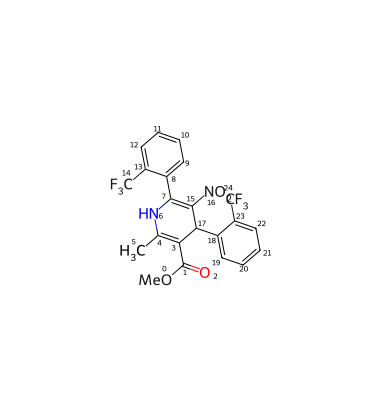 COC(=O)C1=C(C)NC(c2ccccc2C(F)(F)F)=C([N+](=O)[O-])C1c1ccccc1C(F)(F)F